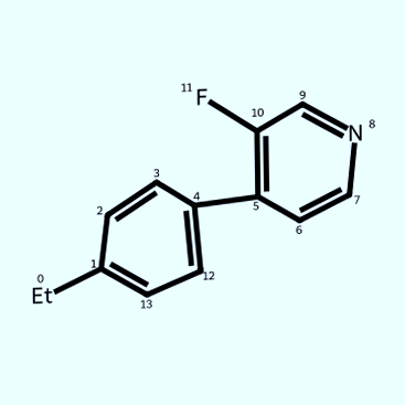 CCc1ccc(-c2ccncc2F)cc1